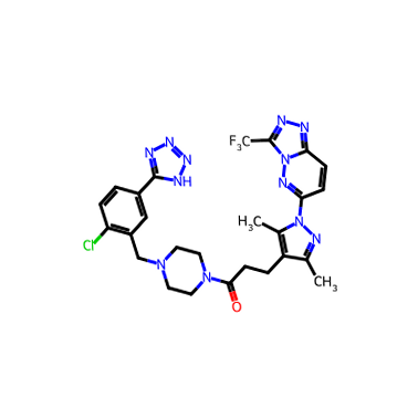 Cc1nn(-c2ccc3nnc(C(F)(F)F)n3n2)c(C)c1CCC(=O)N1CCN(Cc2cc(-c3nnn[nH]3)ccc2Cl)CC1